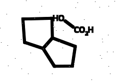 C1CC2CCCC2C1.O=C(O)O